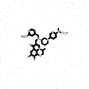 COc1cc(CN(Cc2cn3c4c(c(F)c(F)cc4c2=O)OCC3C)[C@H]2CCCN(c3ccc(N(C)C(=O)O)nc3)C2)ccn1